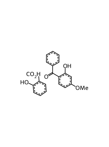 COc1ccc(C(=O)c2ccccc2)c(O)c1.O=C(O)c1ccccc1O